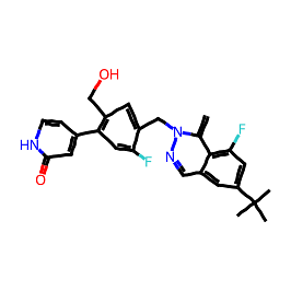 C=C1c2c(F)cc(C(C)(C)C)cc2C=NN1Cc1cc(CO)c(-c2cc[nH]c(=O)c2)cc1F